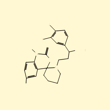 CN1C(=O)OC2(C[CH]CCN2CCC(C(=O)O)c2ccc(Cl)c(Cl)c2)c2cc(F)ccc21